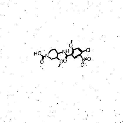 COc1cc(Cl)c([N+](=O)[O-])cc1C(=O)NC1CCN(C(=O)O)CC1OC